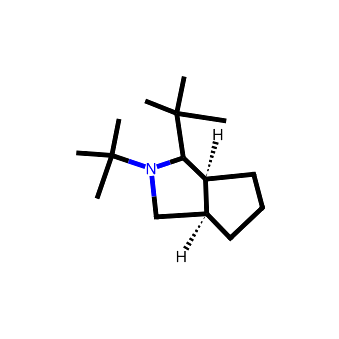 CC(C)(C)C1[C@H]2CCC[C@H]2CN1C(C)(C)C